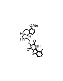 COc1cccc2c1CC[C@H]1CNC(CCn3c(=O)[nH]c4c(sc5cccc(C)c54)c3=O)[C@@H]21